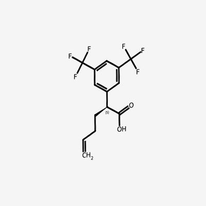 C=CCC[C@H](C(=O)O)c1cc(C(F)(F)F)cc(C(F)(F)F)c1